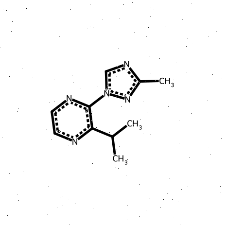 Cc1ncn(-c2nccnc2C(C)C)n1